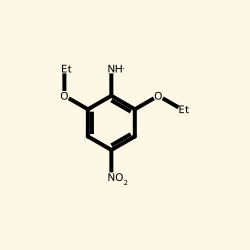 CCOc1cc([N+](=O)[O-])cc(OCC)c1[NH]